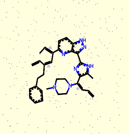 C=C/C=C(\c1nc(-c2n[nH]c3ccc(C(/C=C(\C=C)CCc4ccccc4)=C/C)nc23)[nH]c1C)N1CCN(C)CC1